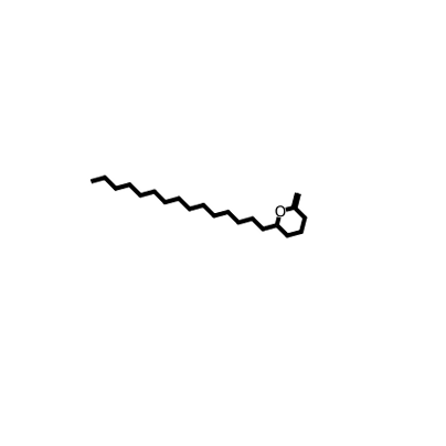 C=C1CCCC(CCCCCCCCCCCCCCC)O1